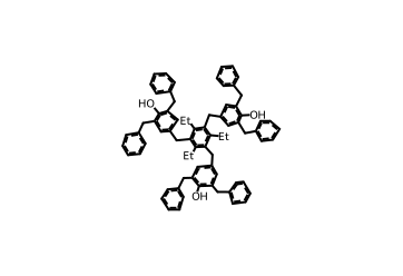 CCc1c(Cc2cc(Cc3ccccc3)c(O)c(Cc3ccccc3)c2)c(CC)c(Cc2cc(Cc3ccccc3)c(O)c(Cc3ccccc3)c2)c(CC)c1Cc1cc(Cc2ccccc2)c(O)c(Cc2ccccc2)c1